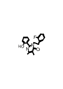 Cc1nc(-c2ccccc2O)n(CCc2ccccc2F)c(=O)c1C